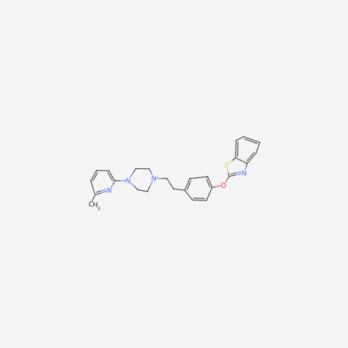 Cc1cccc(N2CCN(CCc3ccc(Oc4nc5ccccc5s4)cc3)CC2)n1